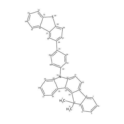 CC1(C)c2ccccc2-c2ccc3c(c21)c1ccccc1n3-c1ccc(-c2ccc3sc4ccccc4c3c2)cc1